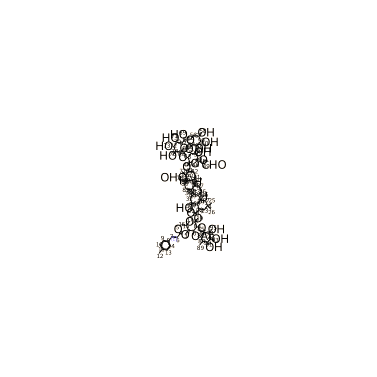 CC(=O)OC1C(OC(=O)/C=C/c2ccc(C)cc2)C(C)OC(OC(=O)[C@@H]2CC(C)(C)C[C@@H]3C2[C@H](O)C[C@]2(C)C3C=C[C@@H]3[C@@]4(C)CC[C@H](OC5OC(OC=O)C(O)C(OC6OCC(O)C(O)C6O)C5OC5OC(CO)C(O)C(O)C5O)[C@@](C)(C=O)[C@@H]4CC[C@]32C)C1OC1CC(C)C(O)C(O)C1O